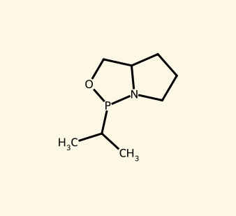 CC(C)P1OCC2CCCN21